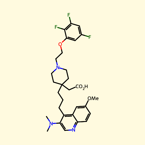 COc1ccc2ncc(N(C)C)c(CCCC3(CC(=O)O)CCN(CCOc4cc(F)cc(F)c4F)CC3)c2c1